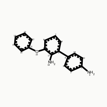 Nc1ccc(-c2cccc(Oc3ccccc3)c2N)cc1